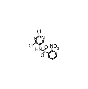 O=[N+]([O-])c1ccccc1S(=O)(=O)Nc1cnc(Cl)nc1Cl